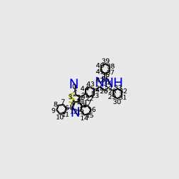 N#Cc1sc2c(-c3ccccc3)nc3ccccc3c2c1-c1ccc(C2=CC(c3ccccc3)NC(c3ccccc3)=N2)cc1